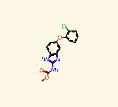 COC(=O)Nc1nc2cc(Oc3ccccc3Cl)ccc2[nH]1